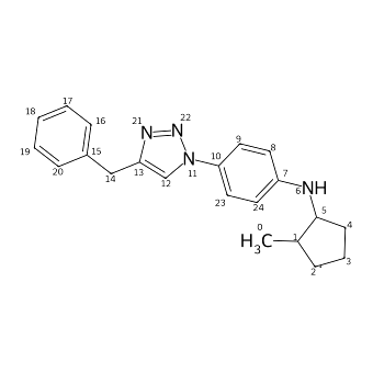 CC1[CH]CCC1Nc1ccc(-n2cc(Cc3ccccc3)nn2)cc1